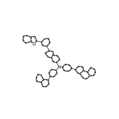 c1cc(-c2ccc3cc(N(c4ccc(-c5ccc6c(ccc7ccccc76)c5)cc4)c4ccc(-c5cccc6ccccc56)cc4)ccc3c2)cc(-c2cc3ccccc3o2)c1